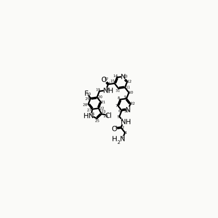 NCC(=O)NCc1ccc(Cc2cncc(C(=O)NCc3cc4c(Cl)c[nH]c4cc3F)c2)cn1